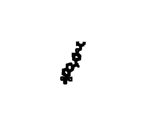 C[C@H](c1ccc(OCC(F)F)nc1)N1CCc2ccc(S(=O)(=O)Cl)cc2C1